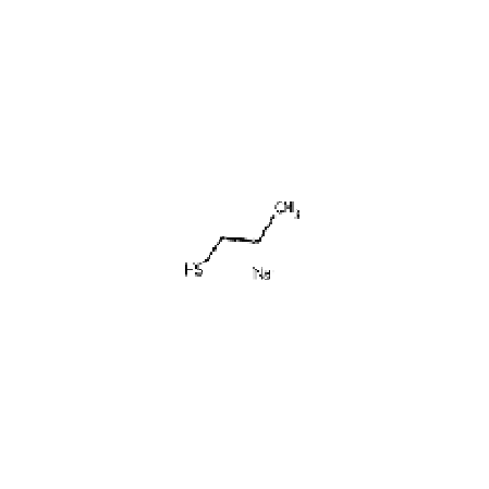 CCCS.[Na]